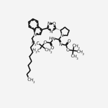 CCCCCCCCCCn1cc(-c2noc([C@@H]3CCCN3/C(=N\C(=O)OC(C)(C)C)NC(=O)OC(C)(C)C)n2)c2ccccc21